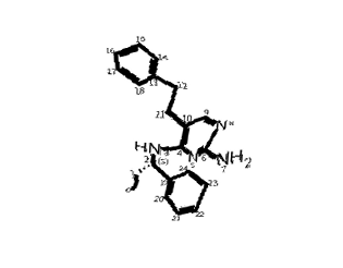 CC[C@H](Nc1nc(N)ncc1CCc1ccccc1)c1ccccc1